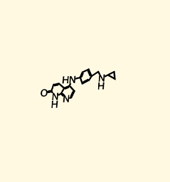 O=c1ccc2c(Nc3ccc(CNC4CC4)cc3)ccnc2[nH]1